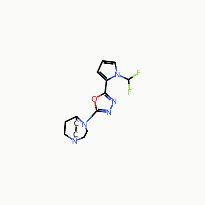 FC(F)n1cccc1-c1nnc(N2CCN3CCC2CC3)o1